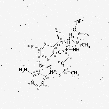 CCCOC(=O)C(C)(C)N[P@](=O)(CO[C@H](C)Cn1cnc2c(N)ncnc21)N[C@H](C)c1cccc(F)c1